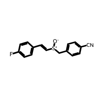 N#Cc1ccc(C[S+]([O-])/C=C/c2ccc(F)cc2)cc1